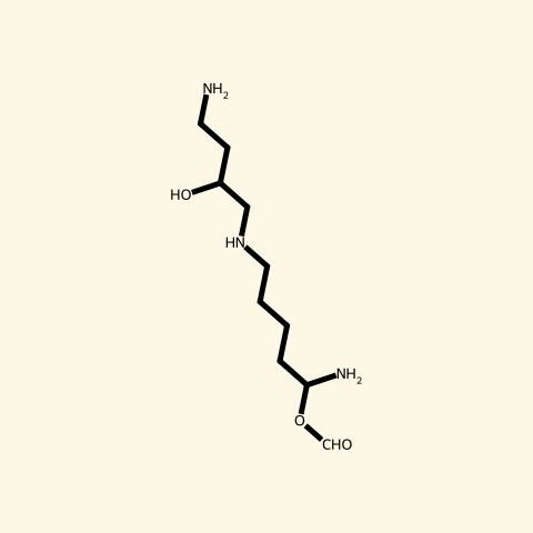 NCCC(O)CNCCCCC(N)OC=O